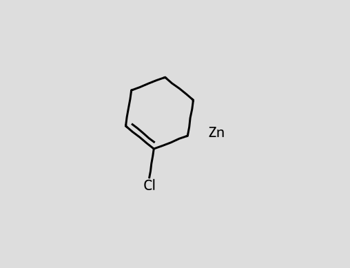 ClC1=CCCCC1.[Zn]